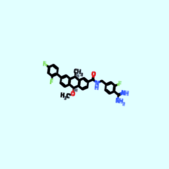 CO[C@@H]1c2ccc(C(=O)NCc3ccc(C(=N)N)c(F)c3)cc2[C@H](C)c2cc(-c3ccc(F)cc3F)ccc21